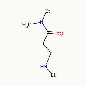 CCNCCC(=O)N(C)CC